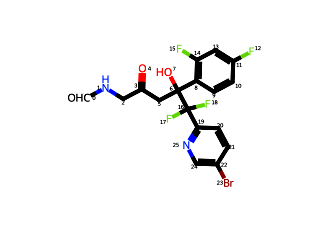 O=CNCC(=O)CC(O)(c1ccc(F)cc1F)C(F)(F)c1ccc(Br)cn1